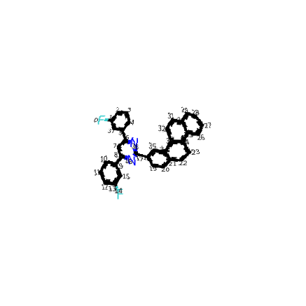 Fc1cccc(-c2cc(-c3cccc(F)c3)nc(-c3ccc4ccc5c6ccccc6ccc5c4c3)n2)c1